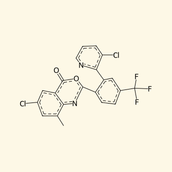 Cc1cc(Cl)cc2c(=O)oc(-c3ccc(C(F)(F)F)cc3-c3ncccc3Cl)nc12